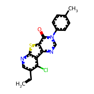 C=Cc1cnc2sc3c(=O)n(-c4ccc(C)cc4)cnc3c2c1Cl